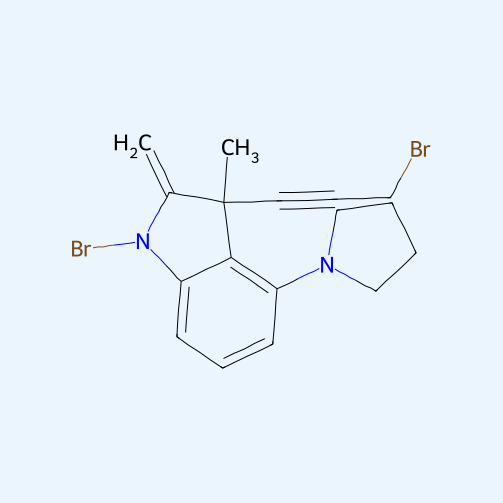 C=C1N(Br)c2cccc(N3CCCC3)c2C1(C)C#CCBr